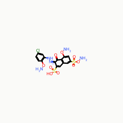 NOc1ccc(Cl)cc1N/N=C1\C(=O)c2c(cc(S(=O)(=O)ON)cc2ON)C=C1S(=O)(=O)O